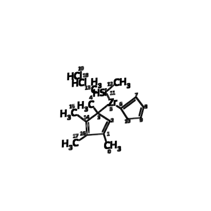 CC1=C[C](C)([Zr]([C]2=CC=CC2)[SiH](C)C)C(C)=C1C.Cl.Cl